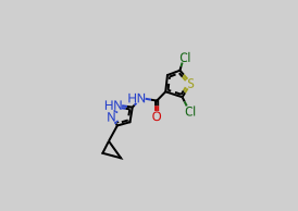 O=C(Nc1cc(C2CC2)n[nH]1)c1cc(Cl)sc1Cl